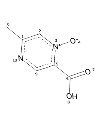 Cc1c[n+]([O-])c(C(=O)O)cn1